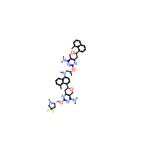 Cc1cccc2cccc(C3Cc4nc(OC(C)CN(C)c5ccc(C6Cc7nc(OC[C@@H]8CC(F)(F)CN8C)nc(N(C)C)c7CO6)c6c(C)cccc56)nc(N(C)C)c4CO3)c12